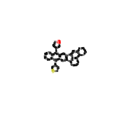 c1ccc2c(c1)cc1c3c(cccc32)-c2cc3c(-c4ccsc4)c4ccccc4c(-c4ccoc4)c3cc2-1